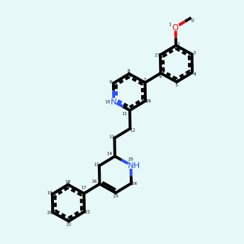 COc1cccc(-c2ccnc(CCC3CC(c4ccccc4)=CCN3)c2)c1